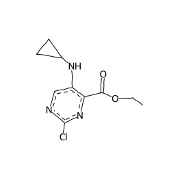 CCOC(=O)c1nc(Cl)ncc1NC1CC1